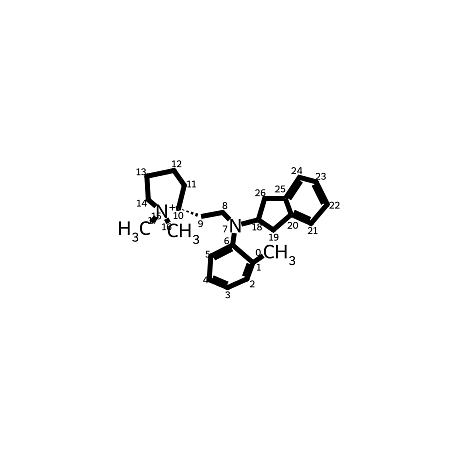 Cc1ccccc1N(CC[C@H]1CCCC[N+]1(C)C)C1Cc2ccccc2C1